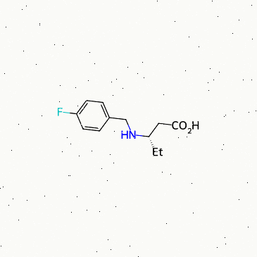 CC[C@@H](CC(=O)O)NCc1ccc(F)cc1